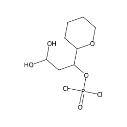 O=P(Cl)(Cl)OC(CC(O)O)C1CCCCO1